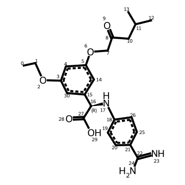 CCOc1cc(OCC(=O)CC(C)C)cc([C@@H](Nc2ccc(C(=N)N)cc2)C(=O)O)c1